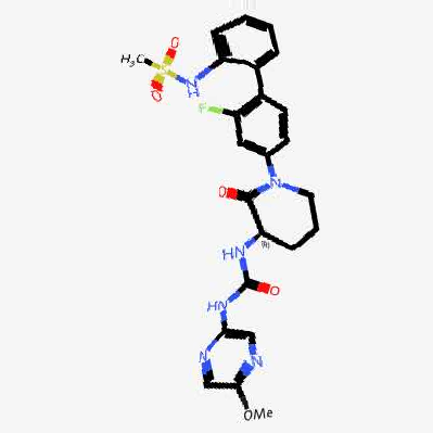 COc1cnc(NC(=O)N[C@@H]2CCCN(c3ccc(-c4ccccc4NS(C)(=O)=O)c(F)c3)C2=O)cn1